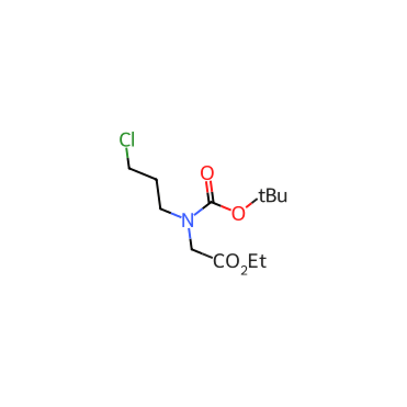 CCOC(=O)CN(CCCCl)C(=O)OC(C)(C)C